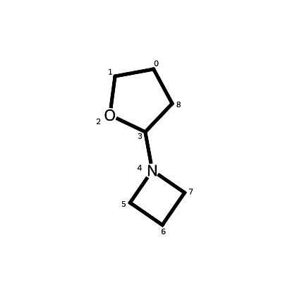 C1COC(N2CCC2)C1